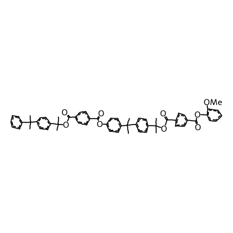 COc1ccccc1OC(=O)c1ccc(C(=O)OC(C)(C)c2ccc(C(C)(C)c3ccc(OC(=O)c4ccc(C(=O)OC(C)(C)c5ccc(C(C)(C)c6ccccc6)cc5)cc4)cc3)cc2)cc1